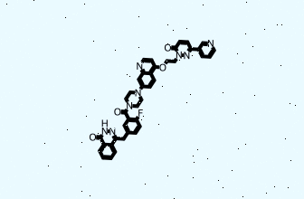 O=C(c1cc(Cc2n[nH]c(=O)c3ccccc23)ccc1F)N1CCN(c2ccc3c(OCCn4nc(-c5cccnc5)ccc4=O)ccnc3c2)CC1